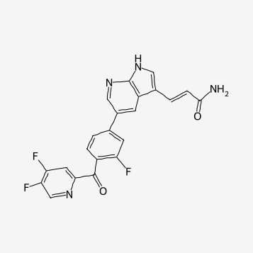 NC(=O)C=Cc1c[nH]c2ncc(-c3ccc(C(=O)c4cc(F)c(F)cn4)c(F)c3)cc12